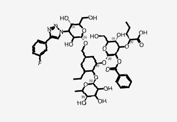 CCC[C@H](OC1C(OC(=O)c2ccccc2)[C@H](O[C@@H]2CC(CO[C@H]3OC(CO)[C@@H](O)C(n4cc(-c5cccc(F)c5)nn4)C3O)CC(CC)C2O[C@@H]2OC(C)[C@H](O)C(O)C2O)OC(CO)[C@@H]1O)C(=O)O